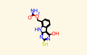 NC(=O)OCc1cccc2c1[nH]c1nc(S)nc(O)c12